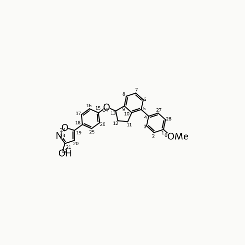 COc1ccc(-c2cccc3c2CCC3Oc2ccc(-c3cc(O)no3)cc2)cc1